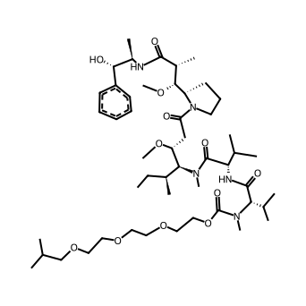 CC[C@H](C)[C@@H]([C@@H](CC(=O)N1CCC[C@H]1[C@H](OC)[C@@H](C)C(=O)N[C@H](C)[C@@H](O)c1ccccc1)OC)N(C)C(=O)[C@@H](NC(=O)[C@H](C(C)C)N(C)C(=O)OCCOCCOCCOCC(C)C)C(C)C